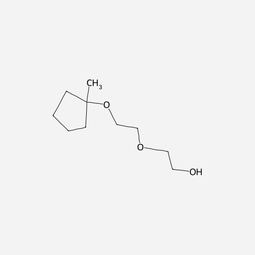 CC1(OCCOCCO)CCCC1